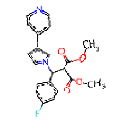 COC(=O)C(C(=O)OC)C(c1ccc(F)cc1)n1ccc(-c2ccncc2)c1